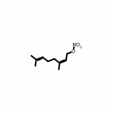 CC(C)=CCCC(C)=CCO[N+](=O)[O-]